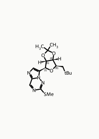 CSc1ncc2ncc([C@@H]3O[C@H](CC(C)(C)C)[C@H]4OC(C)(C)O[C@H]43)n2n1